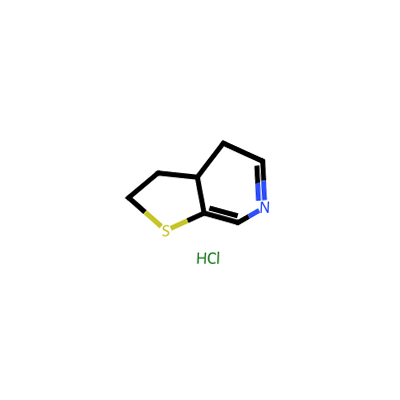 C1=NC=C2SCCC2C1.Cl